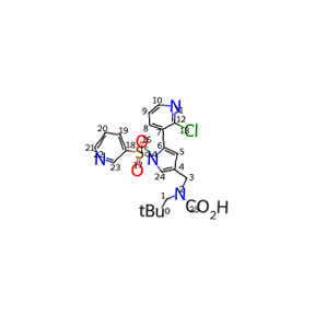 CC(C)(C)CN(Cc1cc(-c2cccnc2Cl)n(S(=O)(=O)c2cccnc2)c1)C(=O)O